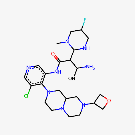 CN1CC(F)CNC1C(C(=O)Nc1cncc(Cl)c1N1CCN2CCN(C3COC3)CC2C1)C(N)N=O